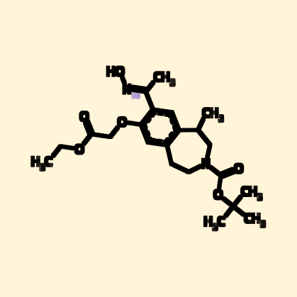 CCOC(=O)COc1cc2c(cc1/C(C)=N/O)C(C)CN(C(=O)OC(C)(C)C)CC2